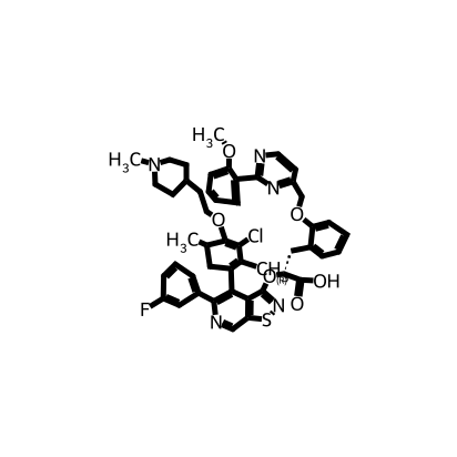 COc1ccccc1-c1nccc(COc2ccccc2C[C@@H](Oc2nsc3cnc(-c4cccc(F)c4)c(C4=C(C)C(Cl)=C(OCCC5CCN(C)CC5)C(C)C4)c23)C(=O)O)n1